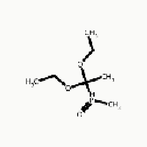 CCOC(C)(OCC)[PH](C)=O